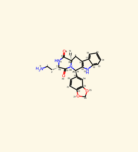 NCC[C@@H]1NC(=O)[C@H]2Cc3c([nH]c4ccccc34)[C@@H](c3ccc4c(c3)OCO4)N2C1=O